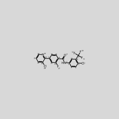 O=C(Nc1ccc(Cl)c(C(F)(F)F)c1)c1ccc(-c2ncccc2Cl)cc1F